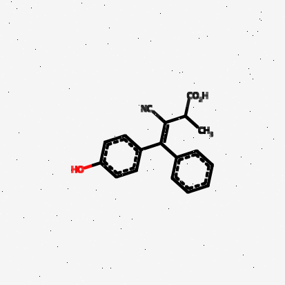 CC(C(=O)O)/C(C#N)=C(\c1ccccc1)c1ccc(O)cc1